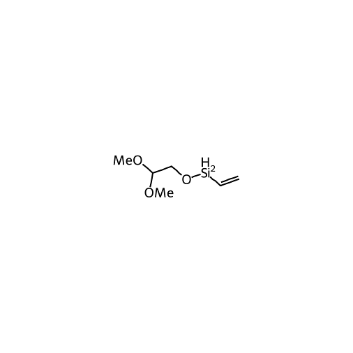 C=C[SiH2]OCC(OC)OC